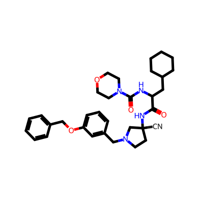 N#CC1(NC(=O)C(CC2CCCCC2)NC(=O)N2CCOCC2)CCN(Cc2cccc(OCc3ccccc3)c2)C1